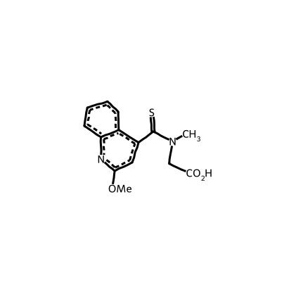 COc1cc(C(=S)N(C)CC(=O)O)c2ccccc2n1